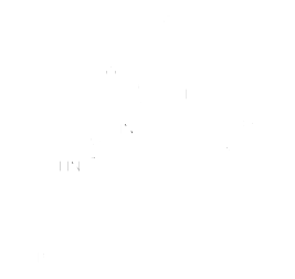 CCOC(=O)C1NC(/C=C2\C(=O)Nc3cc(Br)ccc32)=CC1(C)CCC(=O)O